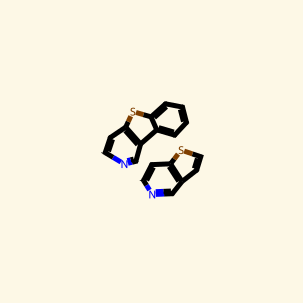 [c]1cc2sc3ccccc3c2cn1.[c]1cc2sccc2cn1